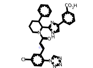 O=C(O)c1cccc(-c2c[nH]c(C3C(c4ccccc4)CCCN3C(=O)/C=C/c3cc(Cl)ccc3-n3cnnn3)n2)c1